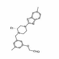 CC[C@@H]1CN(c2nc3ccc(C)cc3s2)CCN1Cc1cc(C)cc(OCC=O)c1